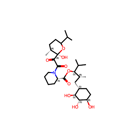 CC(C)C1CC[C@@H](C)[C@](O)(C(=O)C(=O)N2CCCC[C@H]2C(=O)O[C@@H](C(C)C)[C@H](C)C[C@@H]2CC[C@@H](O)[C@H](O)[C@H]2O)O1